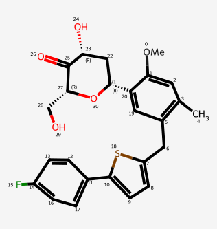 COc1cc(C)c(Cc2ccc(-c3ccc(F)cc3)s2)cc1[C@H]1C[C@@H](O)C(=O)[C@@H](CO)O1